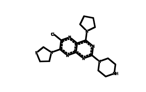 Clc1nc2c(N3CCCC3)nc(N3CCNCC3)nc2nc1N1CCSC1